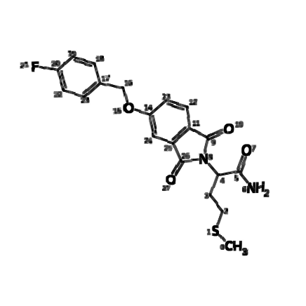 CSCCC(C(N)=O)N1C(=O)c2ccc(OCc3ccc(F)cc3)cc2C1=O